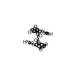 C[C@]12C(CC(=O)[C@@H]3[C@H]1CC[C@]1(C)C(=O)CC[C@@H]31)CC(=NO[C@@H]1CCNC1)CC2OC(=O)/C=C/C(=O)OC1CC(=NO[C@@H]2CCNC2)CC2CC(=O)[C@@H]3[C@@H](CC[C@]4(C)C(=O)CC[C@@H]34)[C@]21C